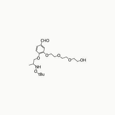 CC(COc1ccc(C=O)cc1OCCOCCOCCO)NOC(C)(C)C